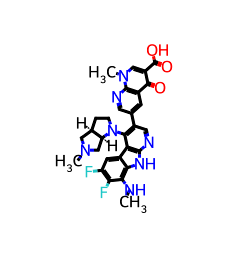 CNc1c(F)c(F)cc2c1[nH]c1ncc(-c3cnc4c(c3)c(=O)c(C(=O)O)cn4C)c(N3CC[C@@H]4CN(C)C[C@@H]43)c12